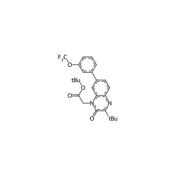 CC(C)(C)OC(=O)Cn1c(=O)c(C(C)(C)C)nc2ccc(-c3cccc(OC(F)(F)F)c3)cc21